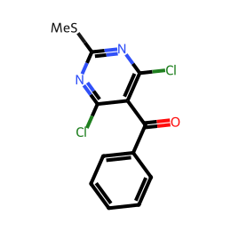 CSc1nc(Cl)c(C(=O)c2ccccc2)c(Cl)n1